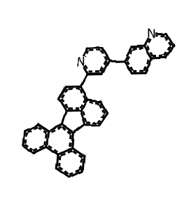 c1cnc2cc(-c3ccnc(-c4ccc5c6c(cccc46)-c4c-5c5ccccc5c5ccccc45)c3)ccc2c1